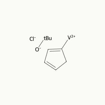 CC(C)(C)[O-].[Cl-].[V+2][C]1=CC=CC1